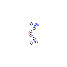 c1ccc(-n2c3ccccc3c3ccc(-c4ccc5oc6ccc(-c7ccc8c9cnnnc9n(-c9ccccc9)c8c7)nc6c5n4)cc32)cc1